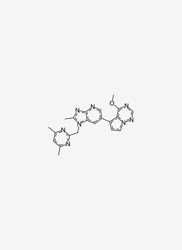 COc1ncnn2ccc(-c3cnc4nc(C)n(Cc5nc(C)cc(C)n5)c4c3)c12